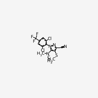 CSc1c(C#N)nn(-c2c(Cl)cc(C(F)(F)F)cc2Cl)c1N(C)C